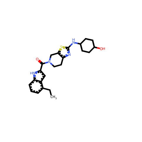 CCc1cccc2[nH]c(C(=O)N3CCc4nc(NC5CCC(O)CC5)sc4C3)cc12